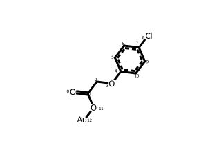 O=C(COc1ccc(Cl)cc1)[O][Au]